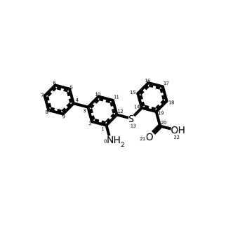 Nc1cc(-c2ccccc2)ccc1Sc1ccccc1C(=O)O